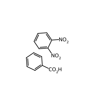 O=C(O)c1ccccc1.O=[N+]([O-])c1ccccc1[N+](=O)[O-]